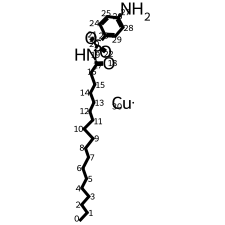 CCCCCCCCCCCCCCCCCC(=O)NS(=O)(=O)c1ccc(N)cc1.[Cu]